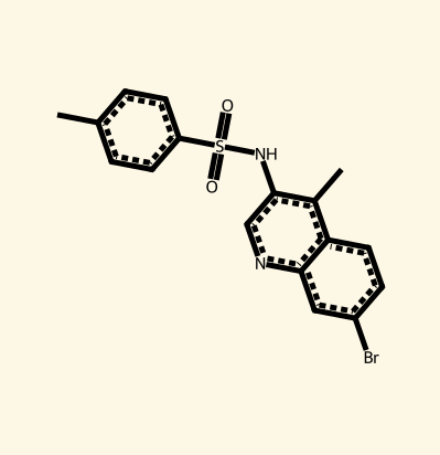 Cc1ccc(S(=O)(=O)Nc2cnc3cc(Br)ccc3c2C)cc1